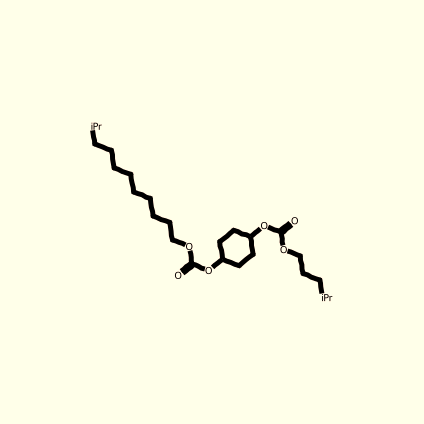 CC(C)CCCCCCCCCOC(=O)OC1CCC(OC(=O)OCCCC(C)C)CC1